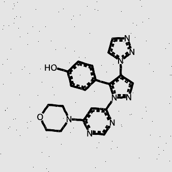 Oc1ccc(-c2c(-n3ccnn3)cnn2-c2cc(N3CCOCC3)ncn2)cc1